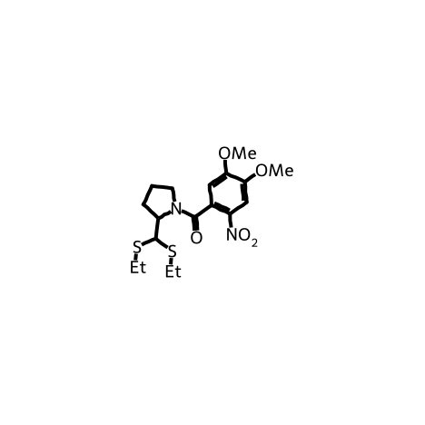 CCSC(SCC)C1CCCN1C(=O)c1cc(OC)c(OC)cc1[N+](=O)[O-]